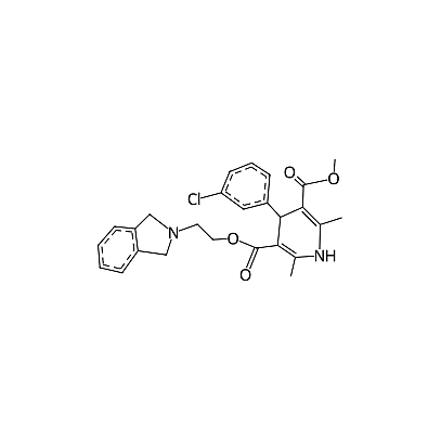 COC(=O)C1=C(C)NC(C)=C(C(=O)OCCN2Cc3ccccc3C2)C1c1cccc(Cl)c1